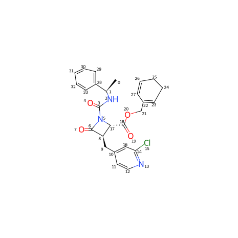 C[C@@H](NC(=O)N1C(=O)[C@H](Cc2ccnc(Cl)c2)[C@H]1C(=O)OCC1=CCCC=C1)c1ccccc1